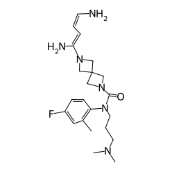 Cc1cc(F)ccc1N(CCCN(C)C)C(=O)N1CC2(C1)CN(/C(N)=C/C=C\N)C2